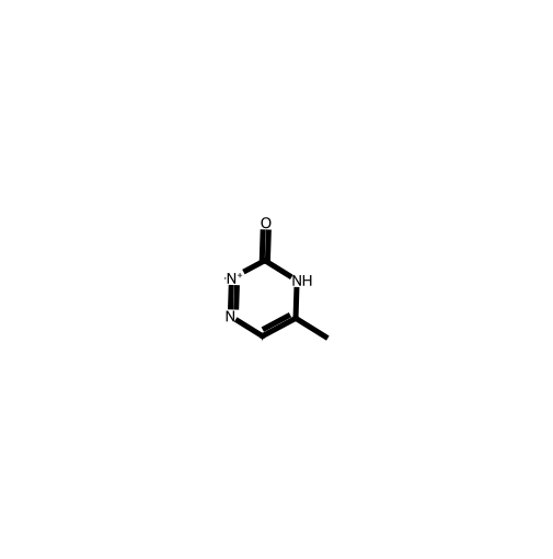 CC1=[C]N=[N+]C(=O)N1